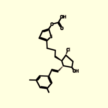 Cc1cc(C)cc(C=C[C@@H]2[C@@H](CCCc3ccc(OC(=O)O)s3)[C@H](Cl)C[C@H]2O)c1